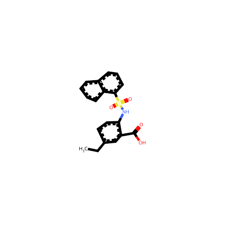 CCc1ccc(NS(=O)(=O)c2cccc3ccccc23)c(C(=O)O)c1